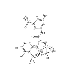 [2H]c1cc(NC(=O)[C@@H]2O[C@@](C)(C(F)(F)F)[C@@H](C)[C@H]2c2ccc(F)c(F)c2OC)cc(C(N)=O)n1